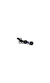 C=CCOC(=O)COc1ccc(/C=N/c2ccccc2)cc1